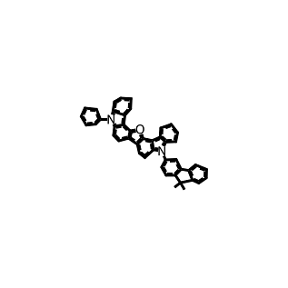 CC1(C)c2ccccc2-c2cc(-n3c4ccccc4c4c5oc6c(ccc7c6c6ccccc6n7-c6ccccc6)c5ccc43)ccc21